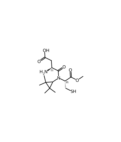 COC(=O)[C@H](CS)N(C(=O)[C@@H](N)CC(=O)O)C1C(C)(C)C1(C)C